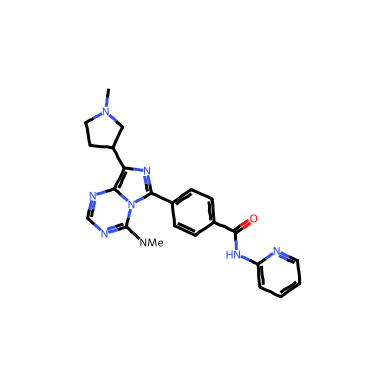 CNc1ncnc2c(C3CCN(C)C3)nc(-c3ccc(C(=O)Nc4ccccn4)cc3)n12